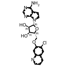 Nc1ncnc2c1ccn2[C@@H]1O[C@H](COc2cc3ncccc3cc2Cl)[C@@H](O)[C@H]1O